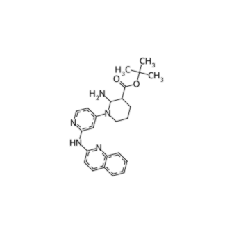 CC(C)(C)OC(=O)C1CCCN(c2ccnc(Nc3ccc4ccccc4n3)c2)C1N